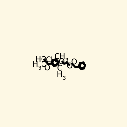 Cc1cc(C(=O)C(C)(C)O)cc(C)c1OCCOC(=O)Cc1ccccc1